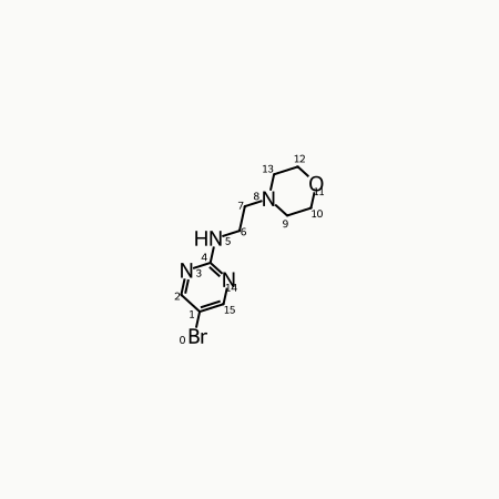 Brc1cnc(NCCN2CCOCC2)nc1